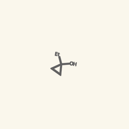 [CH2]CC1(O)CC1